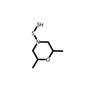 CC1CN(SS)CC(C)O1